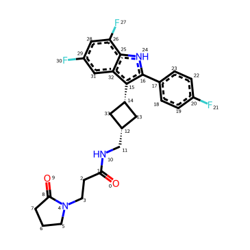 O=C(CCN1CCCC1=O)NC[C@H]1C[C@@H](c2c(-c3ccc(F)cc3)[nH]c3c(F)cc(F)cc32)C1